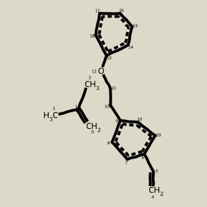 C=C(C)C.C=Cc1ccc(CCOc2ccccc2)cc1